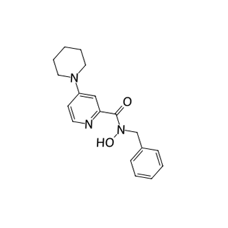 O=C(c1cc(N2CCCCC2)ccn1)N(O)Cc1ccccc1